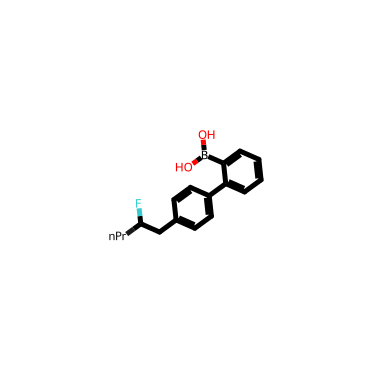 CCCC(F)Cc1ccc(-c2ccccc2B(O)O)cc1